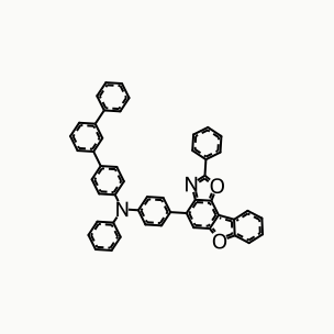 c1ccc(-c2cccc(-c3ccc(N(c4ccccc4)c4ccc(-c5cc6oc7ccccc7c6c6oc(-c7ccccc7)nc56)cc4)cc3)c2)cc1